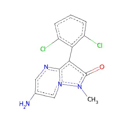 Cn1c(=O)c(-c2c(Cl)cccc2Cl)c2ncc(N)cn21